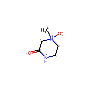 C[N+]1([O-])CCNC(=O)C1